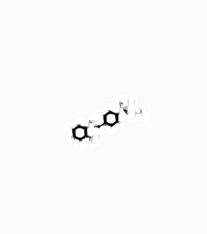 CN(C)c1ccc(/C=N/c2ccccc2Cl)cc1